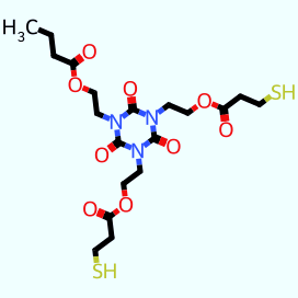 CCCC(=O)OCCn1c(=O)n(CCOC(=O)CCS)c(=O)n(CCOC(=O)CCS)c1=O